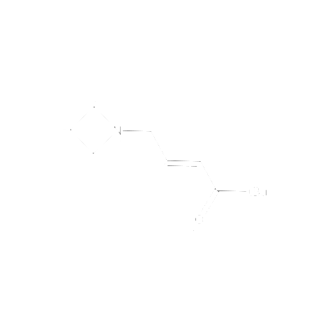 CC(C)(C)C(=O)/C=C/CN1CCC1